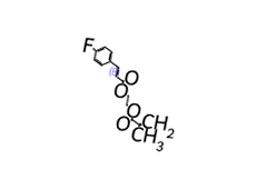 C=C(C)C(=O)OCCOC(=O)/C=C/c1ccc(F)cc1